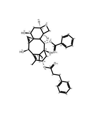 CC1=C2[C@@H](O)C3=C[C@@]34C([C@@H]3CO[C@@H]3C[C@@H]4O)[C@H](OC(=O)c3ccccc3)[C@](O)(C[C@@H]1OC(=O)CCc1ccccc1)C2(C)C